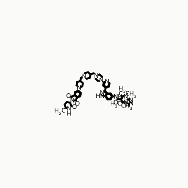 C=C1CCC(N2C(=O)c3ccc(N4CCC(CN5CCC(CN6CCN(c7cc(-c8n[nH]c9ccc(NC(=O)C%10=C(C)N(C)c%11nnnn%11C%10(C)C)cc89)ccn7)CC6)CC5)CC4)cc3C2=O)C(=O)N1